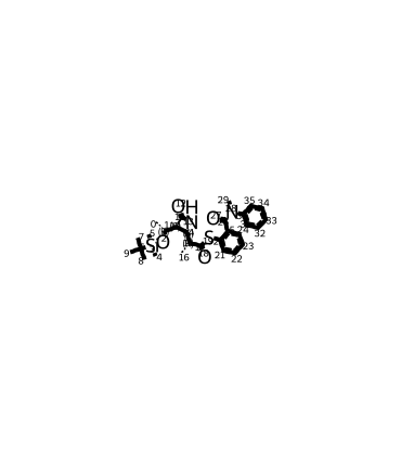 C[C@@H](O[Si](C)(C)C(C)(C)C)[C@H]1C(=O)N[C@@H]1[C@@H](C)C(=O)Sc1ccccc1C(=O)N(C)c1ccccc1